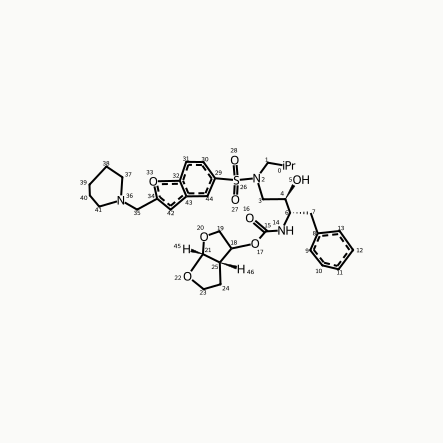 CC(C)CN(C[C@@H](O)[C@H](Cc1ccccc1)NC(=O)OC1CO[C@H]2OCC[C@@H]12)S(=O)(=O)c1ccc2oc(CN3CCCCC3)cc2c1